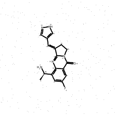 C[C@@H](N)c1cc(F)cc2c(=O)n3c(nc12)C(=Cc1cn[nH]c1)CC3